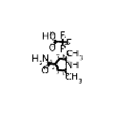 CC1CC(C(N)=O)CC(C)N1.O=C(O)C(F)(F)F